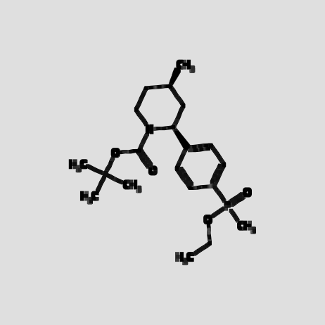 CCOP(C)(=O)c1ccc([C@@H]2C[C@H](C)CCN2C(=O)OC(C)(C)C)cc1